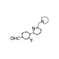 O=Cc1ccc(-c2cccc(CN3CCCCC3)n2)c(F)c1